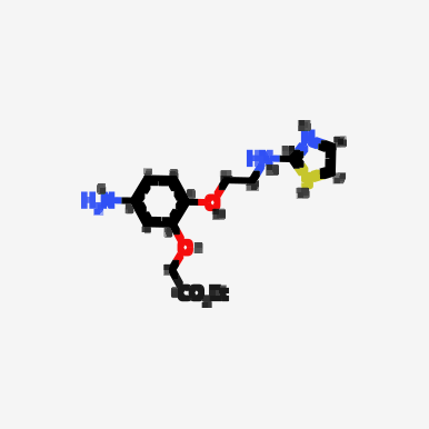 CCOC(=O)COc1cc(N)ccc1OCCNc1nccs1